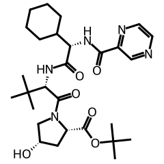 CC(C)(C)OC(=O)[C@@H]1C[C@H](O)CN1C(=O)[C@@H](NC(=O)[C@@H](NC(=O)c1cnccn1)C1CCCCC1)C(C)(C)C